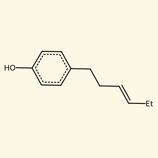 CC/C=C/CCc1ccc(O)cc1